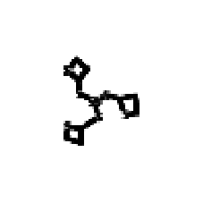 C1CC([S][Sb]([S]C2CCS2)[S]C2CCS2)S1